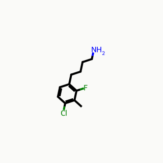 Cc1c(Cl)ccc(CCCCN)c1F